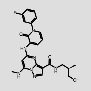 CNc1cc(Nc2cccn(-c3cccc(F)c3)c2=O)nc2c(C(=O)NC[C@@H](C)CO)cnn12